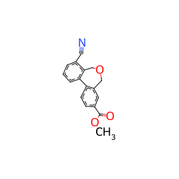 COC(=O)c1ccc2c(c1)COCc1c(C#N)cccc1-2